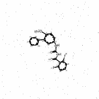 COc1ccc(NC(=O)NC(=O)c2c(F)cccc2F)cc1-c1ccccc1